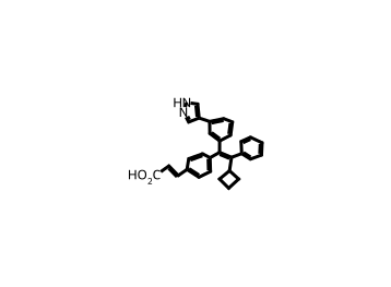 O=C(O)C=Cc1ccc(C(=C(c2ccccc2)C2CCC2)c2cccc(-c3cn[nH]c3)c2)cc1